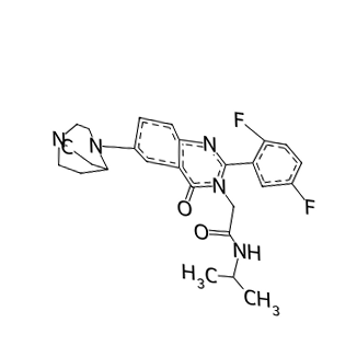 CC(C)NC(=O)Cn1c(-c2cc(F)ccc2F)nc2ccc(N3CCN4CCC3CC4)cc2c1=O